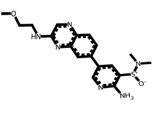 COCCNc1cnc2ccc(-c3cnc(N)c([S+]([O-])N(C)C)c3)cc2n1